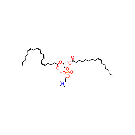 CCCCC/C=C\C/C=C\C/C=C\C/C=C\CCCC(=O)O[C@H](COC(=O)CCCCCCC/C=C\CCCCCC)COP(=O)(O)OCC[N+](C)(C)C